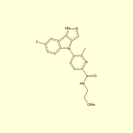 COCCNC(=O)c1ccc(-n2c3ccc(F)cc3c3[nH]ncc32)c(C)n1